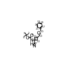 CC(C)(C)OC(=O)NC1(C#N)CC(COCc2ccccc2)C1